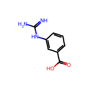 N=C(N)Nc1cccc(C(=O)O)c1